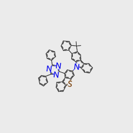 CC1(C)c2ccccc2-c2cc3c(cc21)c1ccccc1n3-c1cc(-c2nc(-c3ccccc3)nc(-c3ccccc3)n2)c2c(c1)sc1ccccc12